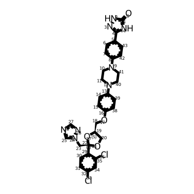 O=c1[nH]nc(-c2ccc(N3CCN(c4ccc(OC[C@H]5CO[C@](Cn6cncn6)(c6ccc(Cl)cc6Cl)O5)cc4)CC3)cc2)[nH]1